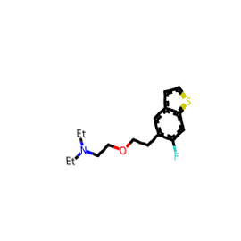 CCN(CC)CCOCCc1cc2ccsc2cc1F